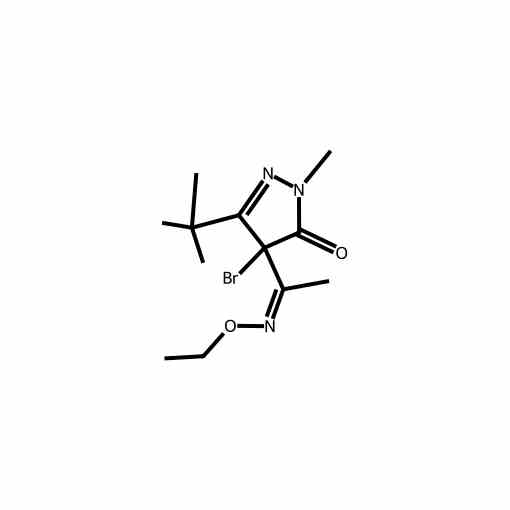 CCO/N=C(/C)C1(Br)C(=O)N(C)N=C1C(C)(C)C